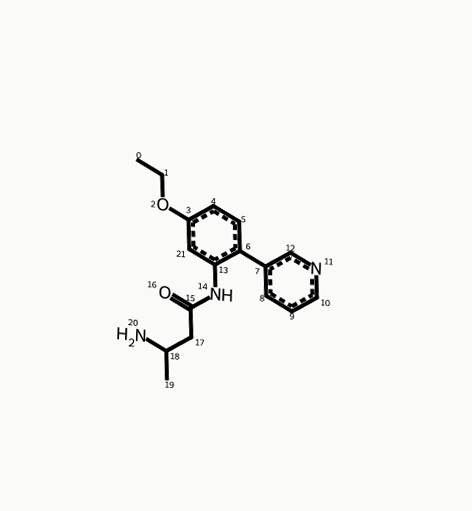 CCOc1ccc(-c2cccnc2)c(NC(=O)CC(C)N)c1